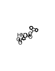 O=C(OCC1c2ccccc2-c2ccccc21)N1CCNc2cc([N+](=O)[O-])ccc2C1